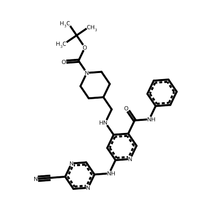 CC(C)(C)OC(=O)N1CCC(CNc2cc(Nc3cnc(C#N)cn3)ncc2C(=O)Nc2ccccc2)CC1